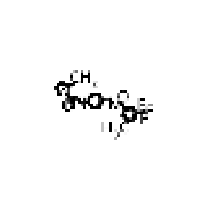 CCC1CCCN1C(=O)CN[C@H]1CC[C@H](CNC(=O)c2cc(C)cc(C(F)(F)F)c2)CC1